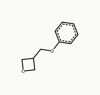 c1ccc(OCC2COC2)cc1